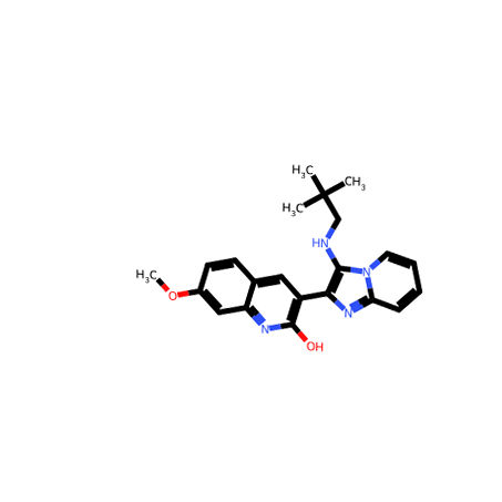 COc1ccc2cc(-c3nc4ccccn4c3NCC(C)(C)C)c(O)nc2c1